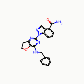 NC(=O)c1cccc2c1cnn2-c1nc2c(c(NCc3ccccc3)n1)OCC2